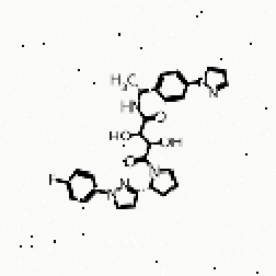 C[C@@H](NC(=O)[C@H](O)[C@@H](O)C(=O)N1CCC[C@@H]1c1ccn(-c2ccc(F)cc2)n1)c1ccc(-n2cccn2)cc1